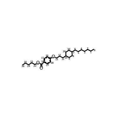 CCCCCCCC1CCC(CCCOc2ccc(C(=O)OCCCCC)cc2)CC1